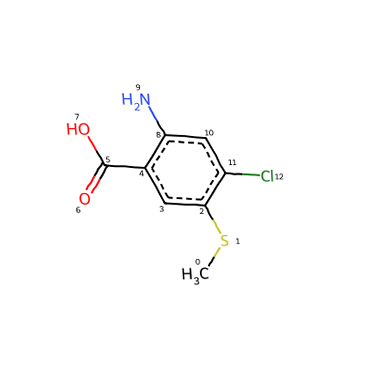 CSc1cc(C(=O)O)c(N)cc1Cl